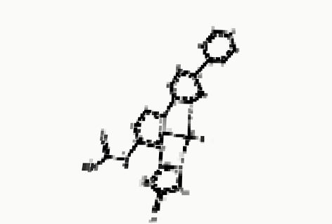 NC(=O)Nc1ccc(-c2ccc(-c3ccccc3)cc2)c(C(F)(F)F)c1-n1cnc(=O)[nH]1